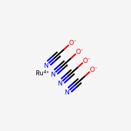 N#C[O-].N#C[O-].N#C[O-].N#C[O-].[Ru+4]